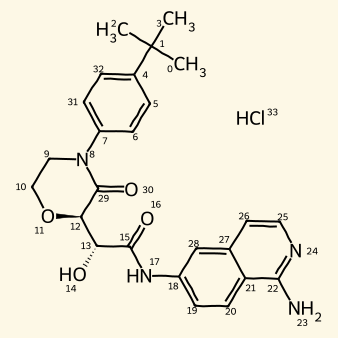 CC(C)(C)c1ccc(N2CCO[C@H]([C@@H](O)C(=O)Nc3ccc4c(N)nccc4c3)C2=O)cc1.Cl